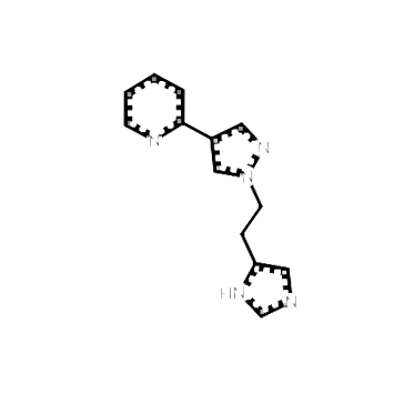 c1ccc(-c2cnn(CCc3cnc[nH]3)c2)nc1